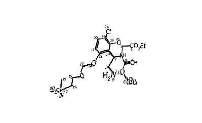 CCOC(=O)CN(C(=O)OC(C)(C)C)C(CN)c1c(OCOCC[Si](C)(C)C)ccc(Cl)c1Cl